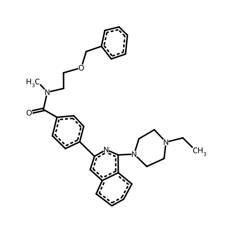 CCN1CCN(c2nc(-c3ccc(C(=O)N(C)CCOCc4ccccc4)cc3)cc3ccccc23)CC1